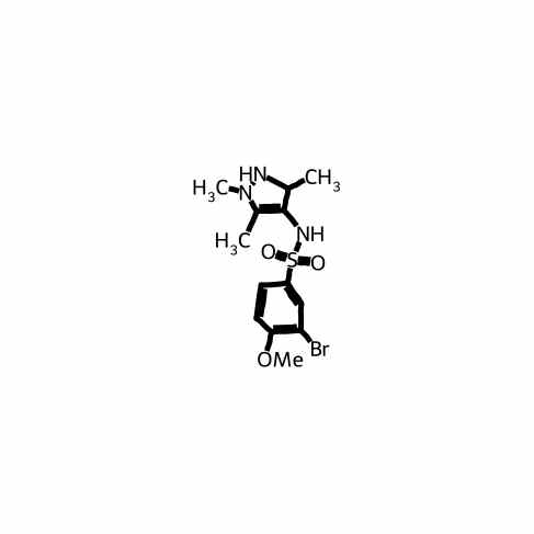 COc1ccc(S(=O)(=O)NC2=C(C)N(C)NC2C)cc1Br